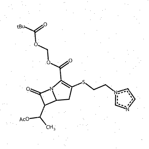 CC(=O)OC(C)C1C(=O)N2C(C(=O)OCOC(=O)C(C)(C)C)=C(SCCn3ccnc3)CC12